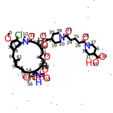 COc1cc2cc(c1Cl)N(C)C(=O)C[C@H](OC(=O)C1CCN(C(=O)CCCC(=O)N3CCC(C(=O)O)CC3)CC1)[C@@]1(C)CC(C)(O1)[C@@H]1C[C@@](O)(NC(=O)O1)[C@H](OC)/C=C/C=C(\C)C2